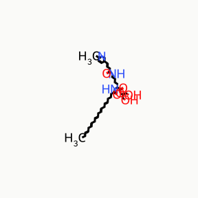 CCC=CCC=CCC=CCC=CCC=CCCCC(=O)N[C@@H](CCCCNC(=O)CC=Cc1ccc(C)nc1)C(=O)OC(CO)CO